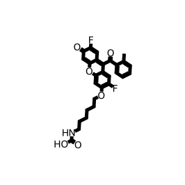 Cc1ccccc1C(=O)c1c2cc(F)c(=O)cc-2oc2cc(OCCCCCCNC(=O)O)c(F)cc12